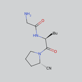 CCC(C)[C@H](NC(=O)CN)C(=O)N1CCC[C@H]1C#N